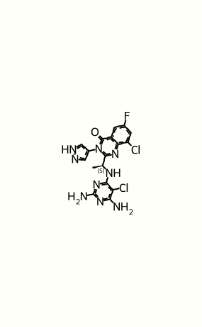 C[C@H](Nc1nc(N)nc(N)c1Cl)c1nc2c(Cl)cc(F)cc2c(=O)n1-c1cn[nH]c1